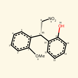 COc1ccccc1[C@H](C[N+](=O)[O-])c1ccccc1O